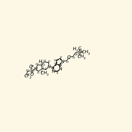 C[C@@]12CN(c3ncnc4c3ccn4COCC[Si](C)(C)C)CC[C@@H]1CN(S(=O)(=O)CC(F)(F)F)C2